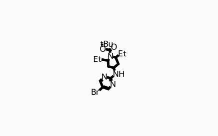 CCC1CC(Nc2ncc(Br)cn2)CC(CC)N1C(=O)OC(C)(C)C